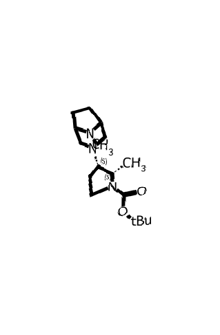 C[C@H]1[C@@H](N2CC3CCC(C2)N3C)CCN1C(=O)OC(C)(C)C